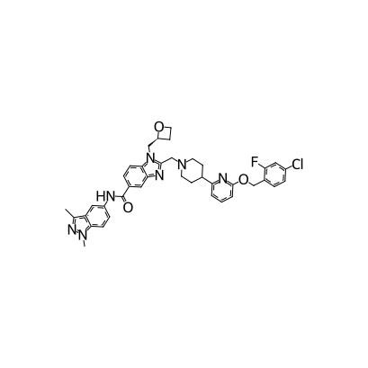 Cc1nn(C)c2ccc(NC(=O)c3ccc4c(c3)nc(CN3CCC(c5cccc(OCc6ccc(Cl)cc6F)n5)CC3)n4C[C@@H]3CCO3)cc12